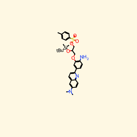 Cc1ccc(S(=O)(=O)OCC(COc2cc(-c3ccc4cc(N(C)C)ccc4n3)ccc2N)O[Si](C)(C)C(C)(C)C)cc1